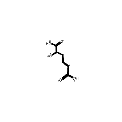 O=C(O)CCCC(O)C(=O)O